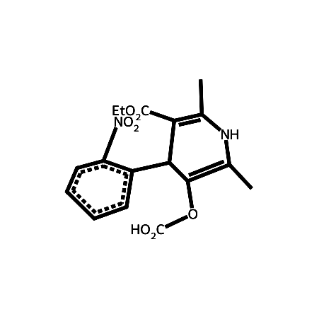 CCOC(=O)C1=C(C)NC(C)=C(OC(=O)O)C1c1ccccc1[N+](=O)[O-]